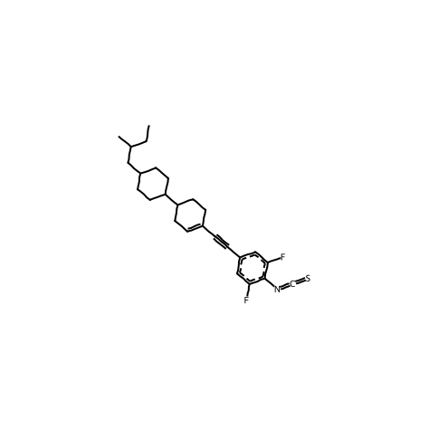 CCC(C)CC1CCC(C2CC=C(C#Cc3cc(F)c(N=C=S)c(F)c3)CC2)CC1